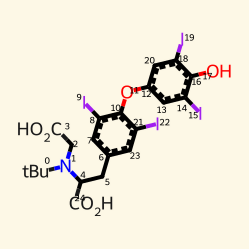 CC(C)(C)N(CC(=O)O)C(Cc1cc(I)c(Oc2cc(I)c(O)c(I)c2)c(I)c1)C(=O)O